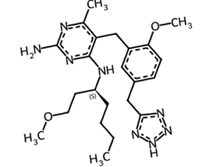 CCCC[C@@H](CCOC)Nc1nc(N)nc(C)c1Cc1cc(Cc2nn[nH]n2)ccc1OC